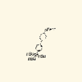 CCCCCC1CCC(c2cc[c]([Sn]([CH2]CCC)([CH2]CCC)[CH2]CCC)cc2)CC1